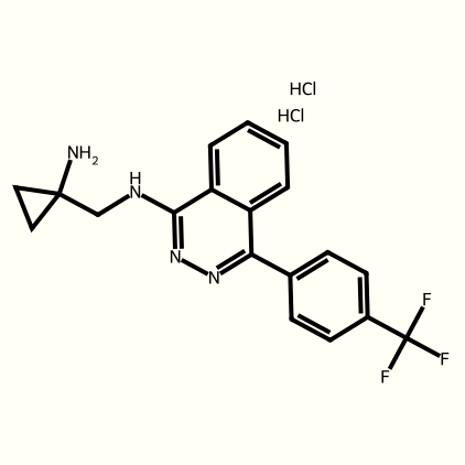 Cl.Cl.NC1(CNc2nnc(-c3ccc(C(F)(F)F)cc3)c3ccccc23)CC1